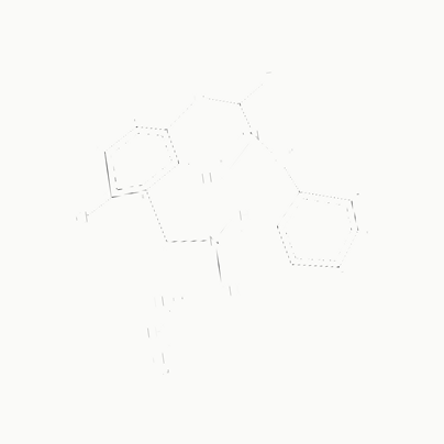 CCC(Oc1ccc(Cl)c(CN(C)C)c1)N(C)Cc1ccccc1.Cl.Cl.O